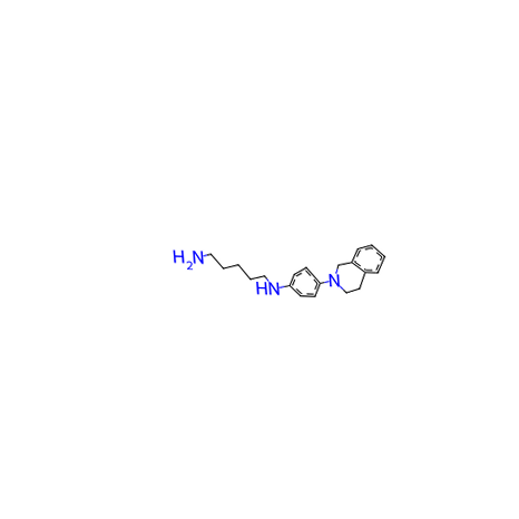 NCCCCCNc1ccc(N2CCc3ccccc3C2)cc1